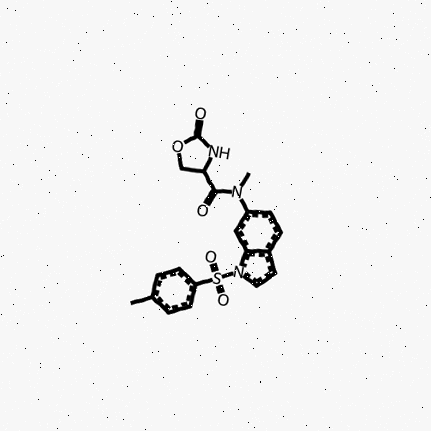 Cc1ccc(S(=O)(=O)n2ccc3ccc(N(C)C(=O)C4COC(=O)N4)cc32)cc1